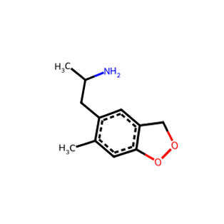 Cc1cc2c(cc1CC(C)N)COO2